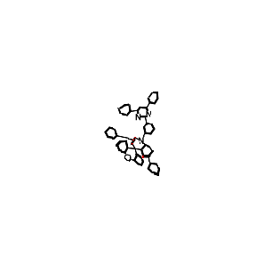 c1ccc(-c2ccc3c(c2)C2(c4ccccc4Oc4ccccc42)c2cc(-c4ccccc4)ccc2N3c2cccc(-c3nc(-c4ccccc4)cc(-c4ccccc4)n3)c2)cc1